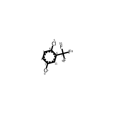 [O]c1ccc(Cl)c(C(F)(F)F)c1